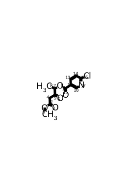 COC(=O)CC(=O)C(C)OC(=O)c1ccc(Cl)nc1